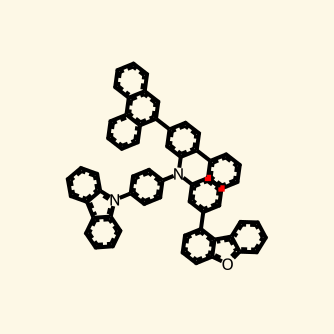 c1ccc(-c2ccc(-c3cc4ccccc4c4ccccc34)cc2N(c2ccc(-n3c4ccccc4c4ccccc43)cc2)c2cccc(-c3cccc4oc5ccccc5c34)c2)cc1